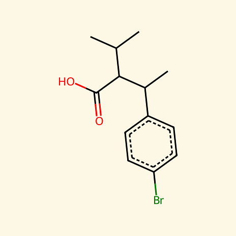 CC(C)C(C(=O)O)C(C)c1ccc(Br)cc1